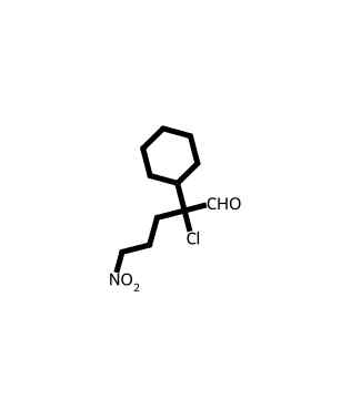 O=CC(Cl)(CCC[N+](=O)[O-])C1CCCCC1